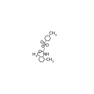 Cc1ccc(S(=O)(=O)OCC(=O)Nc2c(C)cccc2C)cc1